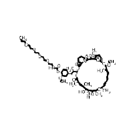 CCCOCCOCCOCCOCCNC(=O)O[C@@H]1CC[C@@H](C[C@@H](C)[C@@H]2CC(=O)[C@H](C)/C=C(\C)[C@@H](O)[C@@H](O)C(=O)C(C)C[C@H](C)/C=C/C=C/C=C(\C)[C@@H](OC)C[C@@H]3CC[C@@H](C)[C@@](O)(O3)C(=O)C(=O)N3CCCC[C@H]3C(=O)O2)C[C@H]1OC